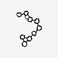 C1=Cc2c(c3ccc(C4=CC=C(c5cccc(-c6cccc(-c7ccc8sc9c(-c%10ccncc%10)cccc9c8c7)c6)c5)CC4)cc3c3ccccc23)CC1